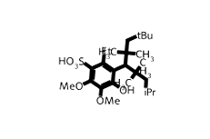 CCc1c(C(C(C)(C)CC(C)C)C(C)(C)CC(C)(C)C)c(O)c(OC)c(OC)c1S(=O)(=O)O